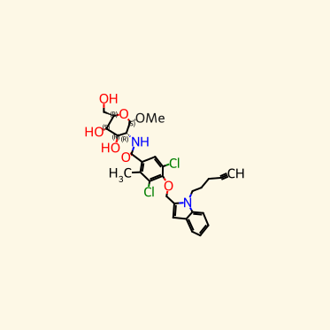 C#CCCCn1c(COc2c(Cl)cc(C(=O)N[C@H]3[C@@H](OC)O[C@H](CO)[C@@H](O)[C@@H]3O)c(C)c2Cl)cc2ccccc21